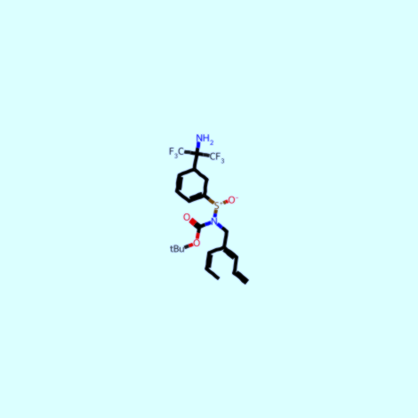 C=C/C=C(\C=C/C)CN(C(=O)OC(C)(C)C)[S+]([O-])C1=CC=CC(C(N)(C(F)(F)F)C(F)(F)F)C1